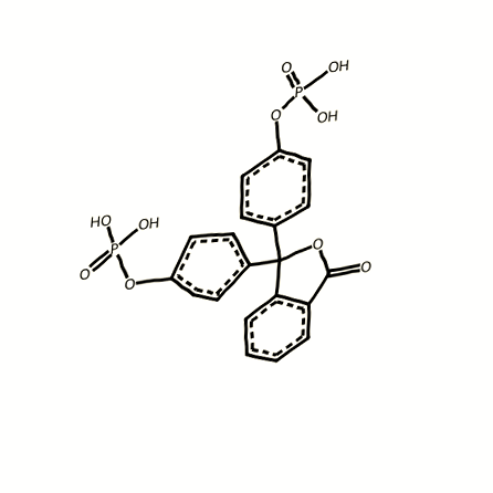 O=C1OC(c2ccc(OP(=O)(O)O)cc2)(c2ccc(OP(=O)(O)O)cc2)c2ccccc21